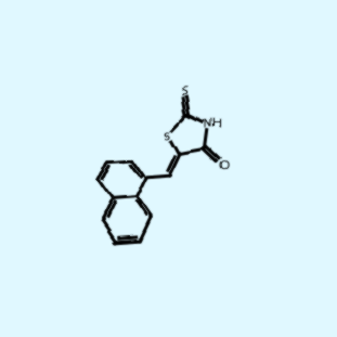 O=C1NC(=S)S/C1=C\c1cccc2ccccc12